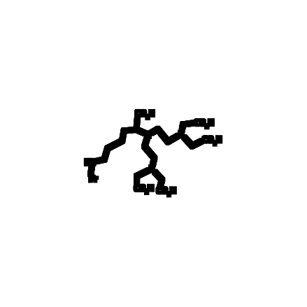 CC(C)NCCCCC(C(=O)O)N(CCN(CC(=O)O)CC(=O)O)CCN(CC(=O)O)CC(=O)O